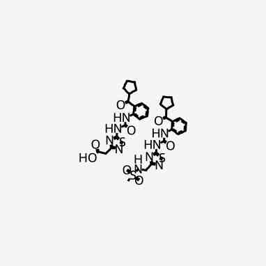 CS(=O)(=O)NCc1nsc(NC(=O)Nc2ccccc2C(=O)C2CCCC2)n1.O=C(O)Cc1nsc(NC(=O)Nc2ccccc2C(=O)C2CCCC2)n1